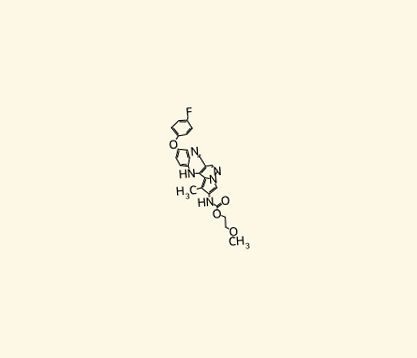 COCCOC(=O)Nc1cn2ncc(C#N)c(Nc3ccc(Oc4ccc(F)cc4)cc3)c2c1C